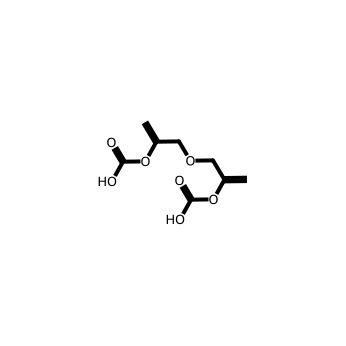 C=C(COCC(=C)OC(=O)O)OC(=O)O